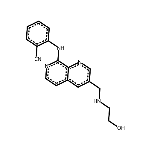 N#Cc1ccccc1Nc1nccc2cc(CNCCO)cnc12